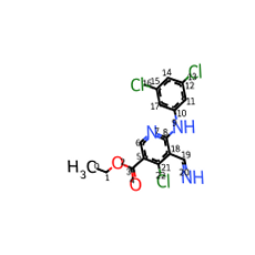 CCOC(=O)c1cnc(Nc2cc(Cl)cc(Cl)c2)c(C=N)c1Cl